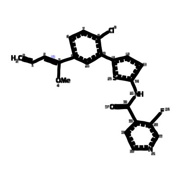 C=C/C=C(\OC)c1ccc(Cl)c(-c2ccc(NC(=O)c3ccncc3F)s2)c1